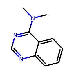 CN(C)c1ncnc2ccccc12